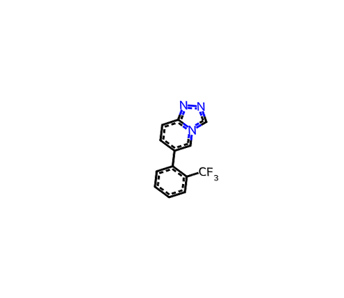 FC(F)(F)c1ccccc1-c1ccc2nncn2c1